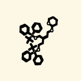 CC(C)(C)[Si](OCC/C(=C/COC1CCCCO1)CO[Si](c1ccccc1)(c1ccccc1)C(C)(C)C)(c1ccccc1)c1ccccc1